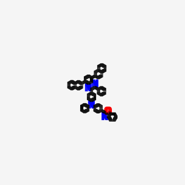 c1ccc(-c2nc3c(-c4ccc5ccccc5c4)ccc(-c4ccc5ccccc5c4)c3nc2-c2ccc(N(c3ccccc3)c3ccc(-c4nc5ccccc5o4)cc3)cc2)cc1